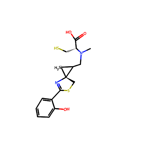 CN(CC1[SiH2][C@]12CSC(c1ccccc1O)=N2)[C@H](CS)C(=O)O